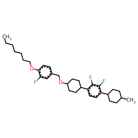 CCCCCCCOc1ccc(COC2CCC(c3ccc(C4CCC(C)CC4)c(F)c3F)CC2)cc1F